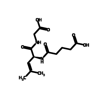 CC(C)=C[C@H](NC(=O)CCCC(=O)O)C(=O)NCC(=O)O